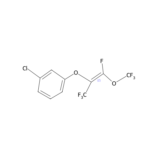 F/C(OC(F)(F)F)=C(\Oc1cccc(Cl)c1)C(F)(F)F